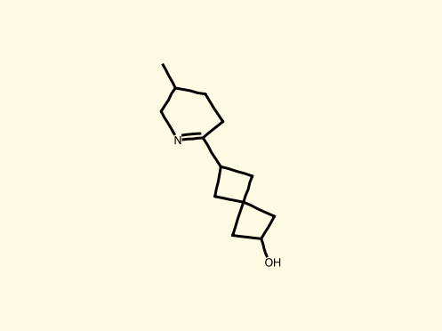 CC1CCC(C2CC3(CC(O)C3)C2)=NC1